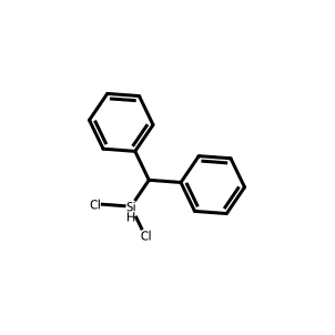 Cl[SiH](Cl)C(c1ccccc1)c1ccccc1